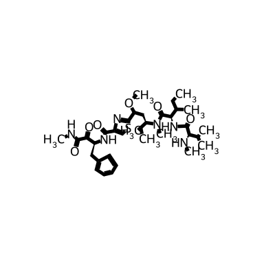 CCC(C)[C@H](NC(=O)[C@@H](NC)C(C)C)C(=O)N(C)[C@H](CC(OC)c1nc(C(=O)N[C@@H](Cc2ccccc2)C(=O)C(=O)NC)cs1)C(C)C